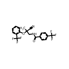 CC(C#N)(CNC(=O)c1ccc(C(F)(F)F)cc1)Oc1ccccc1C(F)(F)F